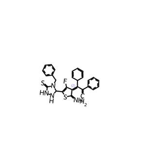 C=C(/C(=C1\C(=N)SC(C2NNC(=S)N2Cc2ccccc2)=C1F)C1C=C=CC=C1)c1ccccc1